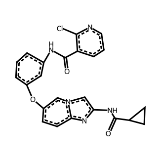 O=C(Nc1cccc(Oc2ccc3nc(NC(=O)C4CC4)cn3c2)c1)c1cccnc1Cl